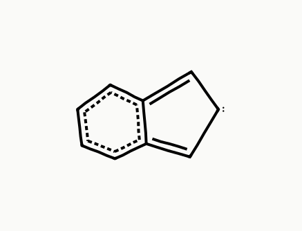 [C]1C=c2ccccc2=C1